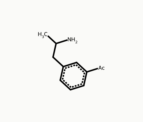 CC(=O)c1cccc(CC(C)N)c1